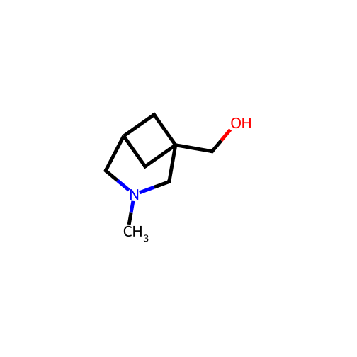 CN1CC2CC(CO)(C2)C1